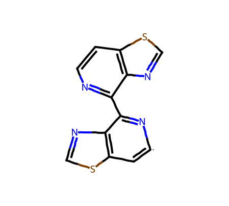 [c]1cc2scnc2c(-c2nccc3scnc23)n1